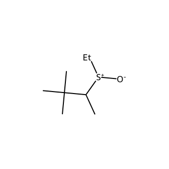 CC[S+]([O-])C(C)C(C)(C)C